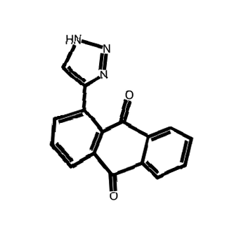 O=C1c2ccccc2C(=O)c2c1cccc2-c1c[nH]nn1